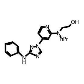 CCCN(CCO)c1cc(-n2cnc(Nc3ccccc3)n2)ccn1